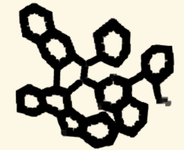 Bc1ccccc1-c1nc(N2c3c(c4ccccc4c4oc5ccccc5c34)-c3cc4ccccc4cc3N2c2ccccc2)nc2ccccc12